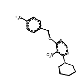 O=[N+]([O-])c1c(OCc2ccc(C(F)(F)F)cc2)ncnc1N1CCCCC1